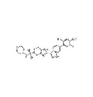 CCc1cc(O)c(F)cc1-c1ccc2c(-c3nc4c([nH]3)CCN(S(=O)(=O)N(C)C3CCOCC3)C4)n[nH]c2c1